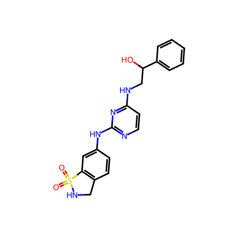 O=S1(=O)NCc2ccc(Nc3nccc(NCC(O)c4ccccc4)n3)cc21